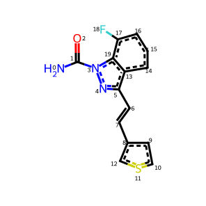 NC(=O)n1nc(C=Cc2ccsc2)c2c[c]cc(F)c21